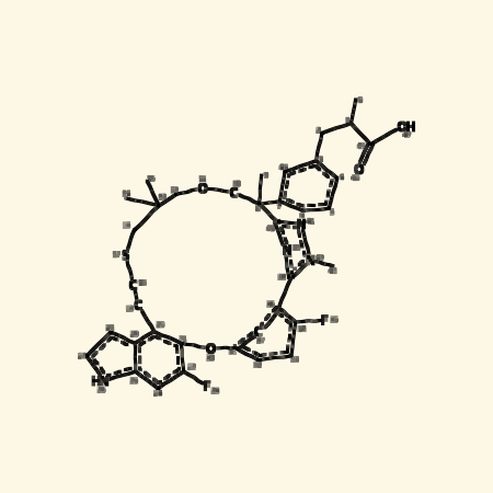 CC(Cc1cccc(C2(C)COCC(C)(C)CSCCc3c(c(F)cc4[nH]ccc34)Oc3ccc(F)c(c3)-c3nc2nn3C)c1)C(=O)O